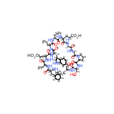 CC(C)C[C@H](NC(=O)[C@H](CC(C)C)NC(=O)[C@H](Cc1c[nH]c2ccccc12)NC(=O)[C@H](CCC(=O)O)NC(=O)[C@@H](NC(=O)[C@@H](N)Cc1ccccc1)C(C)C)C(=O)N[C@@H](CCC(=O)O)C(=O)NCC(=O)NCC(=O)N1CCC[C@H]1C(=O)N[C@@H](CO)C(=O)N[C@@H](CO)C(=O)O